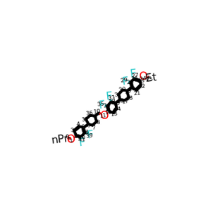 CCCOc1ccc(C2CCC(COc3ccc(C4CCC(c5ccc(OCC)c(F)c5F)CC4)c(F)c3F)CC2)c(F)c1F